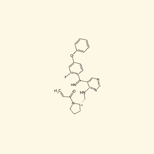 C=CC(=O)N1CCC[C@H]1CNc1ncncc1C(=N)c1ccc(Oc2ccccc2)cc1F